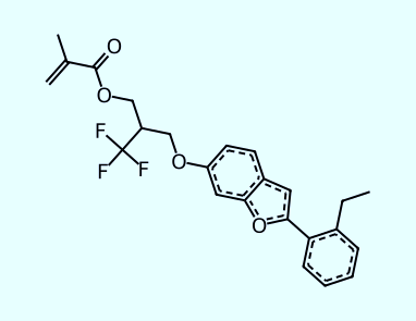 C=C(C)C(=O)OCC(COc1ccc2cc(-c3ccccc3CC)oc2c1)C(F)(F)F